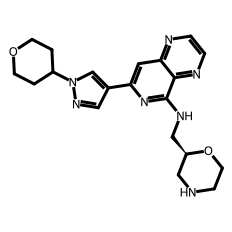 c1cnc2c(NC[C@@H]3CNCCO3)nc(-c3cnn(C4CCOCC4)c3)cc2n1